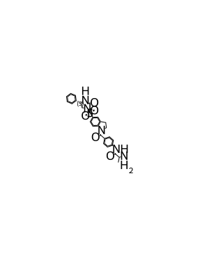 CC(N)C(=O)Nc1ccc(C(=O)N2CCc3cc(S(=O)(=O)N4C[C@H](c5ccccc5)NC4=O)ccc32)cc1